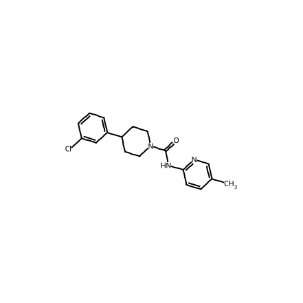 Cc1ccc(NC(=O)N2CCC(c3cccc(Cl)c3)CC2)nc1